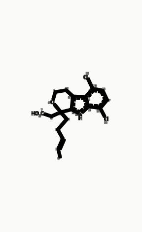 CC=CCCC1(CC(=O)O)OCCc2c1[nH]c1c(Cl)ccc(Cl)c21